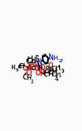 CCOC(COC(O)(OCC)C(OCC)(OCC)N(C)c1ccc(N)c(O[Si](C)(C)C)c1)(OCC)OCC